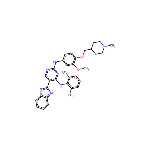 COc1cc(Nc2ncc(-c3nc4ccccc4[nH]3)c(Nc3c(C)cccc3C)n2)ccc1OCC1CCN(C)CC1